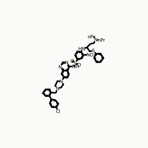 CCCN(CCC)CCC(CSc1ccccc1)Nc1ccc(S(=O)(=O)Nc2ncnc3cc(N4CCN(Cc5ccccc5-c5ccc(Cl)cc5)CC4)ccc23)cc1[N+](=O)[O-]